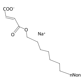 CCCCCCCCCCCCCCCCOC(=O)C=CC(=O)[O-].[Na+]